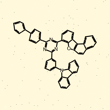 c1ccc(-c2ccc(-c3nc(-c4cccc(-n5c6ccccc6c6ccccc65)c4)nc(-c4cccc5c4oc4ccc6ccccc6c45)n3)cc2)cc1